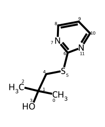 CC(C)(O)CSc1ncccn1